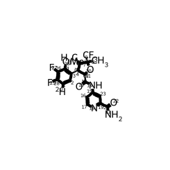 [2H]c1cc([C@H]2[C@@H](C)[C@](C)(C(F)(F)F)O[C@H]2C(=O)Nc2ccnc(C(N)=O)c2)c(OC)c(F)c1F